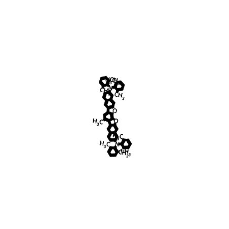 Cc1cccc(C)c1N(c1ccc2cc3c(cc2c1)oc1c3cc(C)c2c3cc4ccc(N(c5c(C)cccc5C)c5c(C)cccc5C)cc4cc3oc12)c1c(C)cccc1C